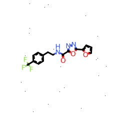 O=C(NCCc1ccc(C(F)(F)F)cc1)c1nnc(-c2ccco2)o1